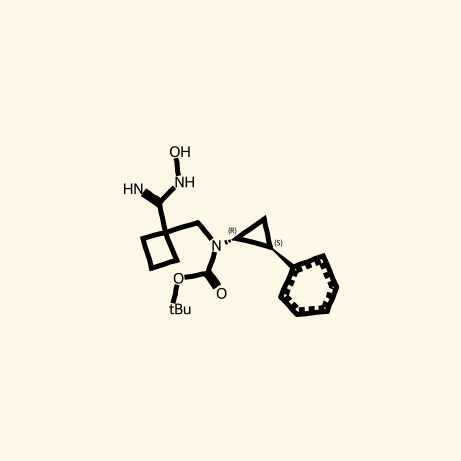 CC(C)(C)OC(=O)N(CC1(C(=N)NO)CCC1)[C@@H]1C[C@H]1c1ccccc1